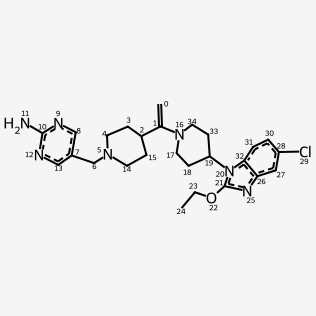 C=C(C1CCN(Cc2cnc(N)nc2)CC1)N1CCC(n2c(OCC)nc3cc(Cl)ccc32)CC1